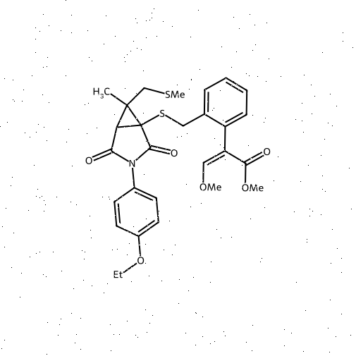 CCOc1ccc(N2C(=O)C3C(C)(CSC)C3(SCc3ccccc3C(=COC)C(=O)OC)C2=O)cc1